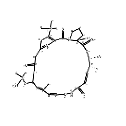 CC1=C\C(O[Si](C)(C)C(C)(C)C)CC(=O)Cc2nc(c([Si](C)(C)C)s2)C(=O)N2CCC[C@@H]2C(=O)O[C@H](C(C)C)[C@H](C)/C=C/C(=O)NC\C=C\1